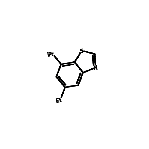 CCc1cc(C(C)C)c2scnc2c1